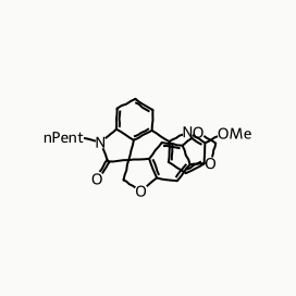 CCCCCN1C(=O)C2(COc3cc4c(cc32)OCO4)c2c(-c3cccc(OC)n3)cccc21